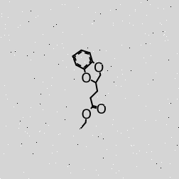 CCOC(=O)CCC1COc2ccccc2O1